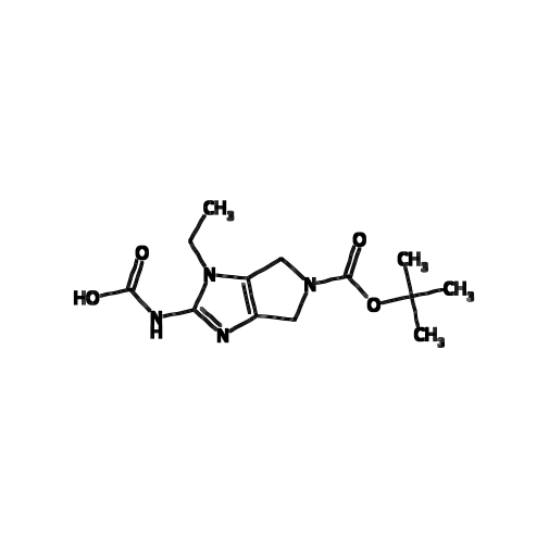 CCn1c(NC(=O)O)nc2c1CN(C(=O)OC(C)(C)C)C2